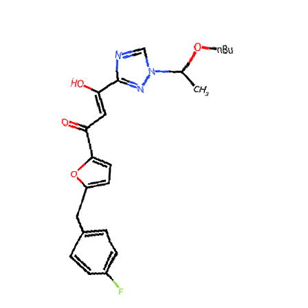 CCCCOC(C)n1cnc(C(O)=CC(=O)c2ccc(Cc3ccc(F)cc3)o2)n1